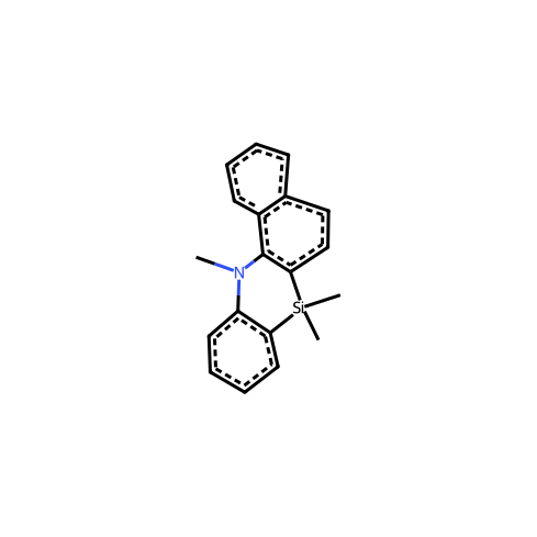 CN1c2ccccc2[Si](C)(C)c2ccc3ccccc3c21